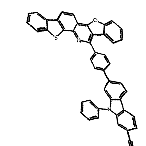 N#Cc1ccc2c3ccc(-c4ccc(-c5nc6c(ccc7c8ccccc8sc76)c6oc7ccccc7c56)cc4)cc3n(-c3ccccc3)c2c1